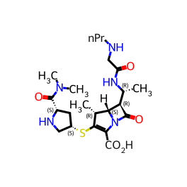 CCCNCC(=O)N[C@H](C)[C@H]1C(=O)N2C(C(=O)O)=C(S[C@@H]3CN[C@H](C(=O)N(C)C)C3)[C@H](C)[C@H]12